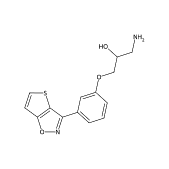 NCC(O)COc1cccc(-c2noc3ccsc23)c1